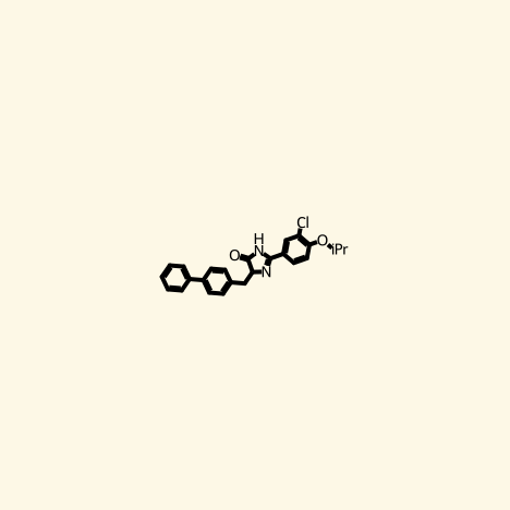 CC(C)Oc1ccc(C2=NC(Cc3ccc(-c4ccccc4)cc3)C(=O)N2)cc1Cl